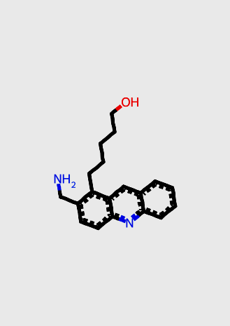 NCc1ccc2nc3ccccc3cc2c1CCCCCO